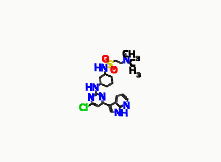 CN(C)CCS(=O)(=O)NC1CCCC(Nc2nc(Cl)cc(-c3c[nH]c4ncccc34)n2)C1